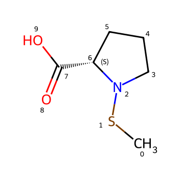 CSN1CCC[C@H]1C(=O)O